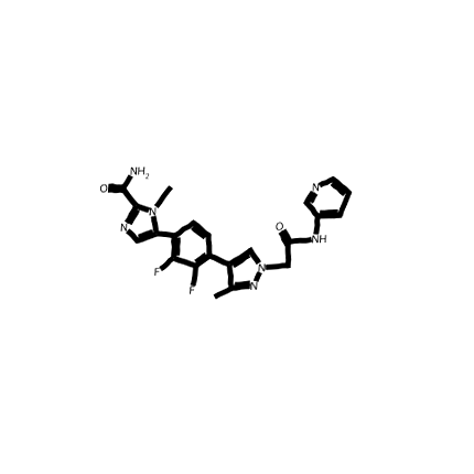 Cc1nn(CC(=O)Nc2cccnc2)cc1-c1ccc(-c2cnc(C(N)=O)n2C)c(F)c1F